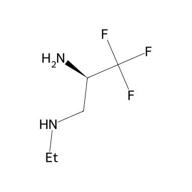 CCNC[C@@H](N)C(F)(F)F